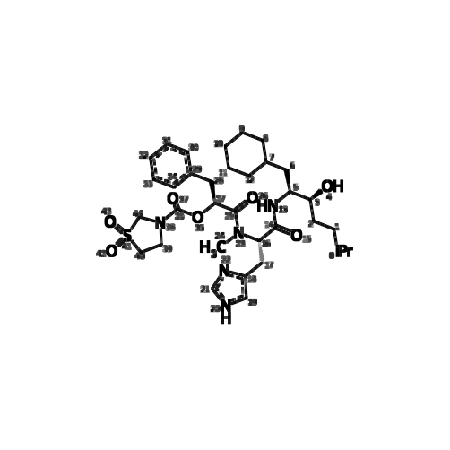 CC(C)CC[C@H](O)[C@H](CC1CCCCC1)NC(=O)[C@H](Cc1c[nH]cn1)N(C)C(=O)[C@H](Cc1ccccc1)OC(=O)N1CCS(=O)(=O)C1